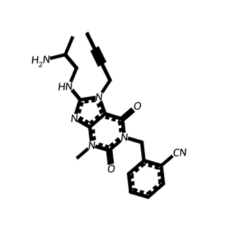 CC#CCn1c(NCC(C)N)nc2c1c(=O)n(Cc1ccccc1C#N)c(=O)n2C